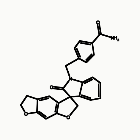 NC(=O)c1ccc(CN2C(=O)C3(COc4cc5c(cc43)CCO5)c3ccccc32)cc1